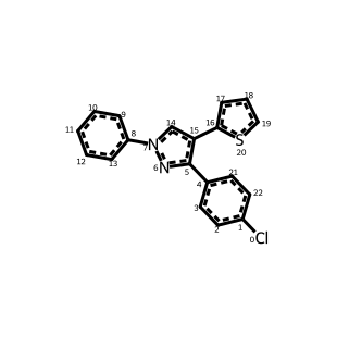 Clc1ccc(-c2nn(-c3ccccc3)cc2-c2cccs2)cc1